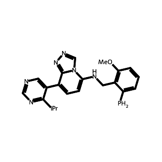 COc1cccc(P)c1CNc1ccc(-c2cncnc2C(C)C)c2nncn12